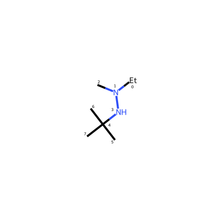 CCN(C)NC(C)(C)C